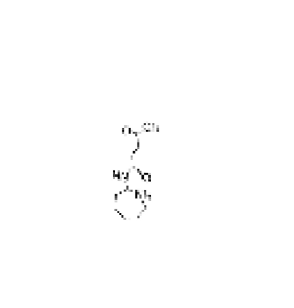 O=C(O)CCC(=O)NC1CCCCCN1